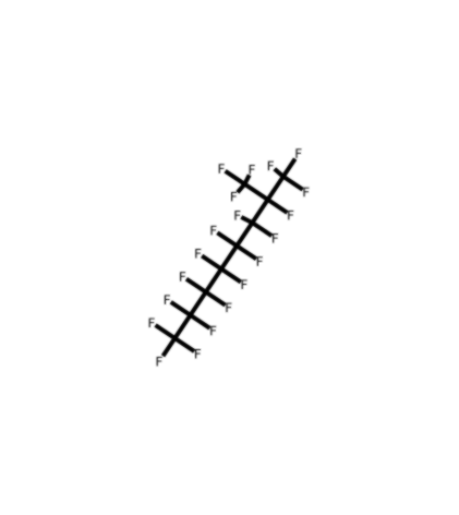 FC(F)(F)C(F)(F)C(F)(F)C(F)(F)C(F)(F)C(F)(F)C(F)(C(F)(F)F)C(F)(F)F